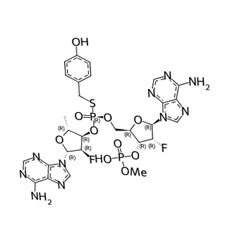 COP(=O)(O)O[C@H]1[C@@H](F)[C@H](n2cnc3c(N)ncnc32)O[C@@H]1CO[P@](=O)(O[C@H]1[C@@H](F)[C@H](n2cnc3c(N)ncnc32)O[C@@H]1C)SCc1ccc(O)cc1